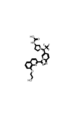 O=C(O)NC1CCN([C@H](c2ccc3nnc(-c4ccc5cccc(OCCO)c5n4)n3c2)C(F)(F)F)C1